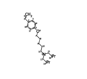 C=Cc1ccc(OCCCCCN(CC(C)C)CC(C)C)cc1